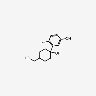 OCC1CCC(O)(c2cc(O)ccc2F)CC1